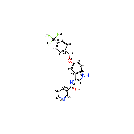 O=C(Nc1c[nH]c2ccc(OCc3ccc(C(F)(F)F)cc3)cc12)c1cccnc1